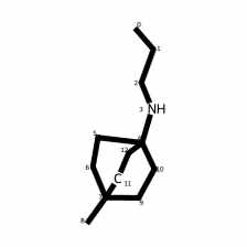 CCCNC12CCC(C)(CC1)CC2